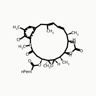 CCCCCC(=O)O[C@H]1CC(=O)N(C)c2cc(cc(C)c2Cl)C/C(C)=C/C=C/[C@@H](C)[C@@]2(O)C[C@H](OC(=O)N2)[C@@H](C)[C@@H]2O[C@@]12C